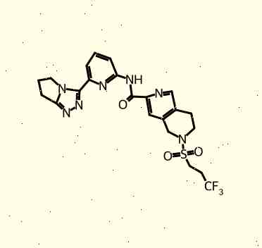 O=C(Nc1cccc(-c2nnc3n2CCC3)n1)c1cc2c(cn1)CCN(S(=O)(=O)CCC(F)(F)F)C2